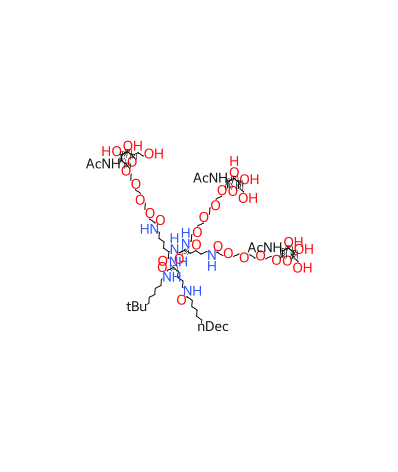 CCCCCCCCCCCCCCCC(=O)NCCCC[C@H](NC(=O)C(CCCCNC(=O)COCCOCCOCCO[C@@H]1O[C@H](CCO)[C@H](O)[C@H](O)[C@H]1NC(C)=O)NC(=O)[C@H](CCCCNC(=O)COCCOCCOCCO[C@@H]1O[C@H](CO)[C@H](O)[C@H](O)[C@H]1NC(C)=O)NC(=O)COCCOCCOCCO[C@@H]1O[C@H](CO)[C@H](O)[C@H](O)[C@H]1NC(C)=O)C(=O)NCCCCCCC(C)(C)C